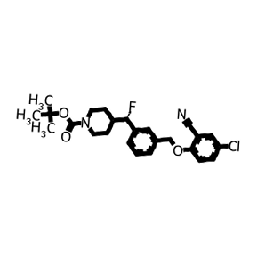 CC(C)(C)OC(=O)N1CCC([C@H](F)c2cccc(COc3ccc(Cl)cc3C#N)c2)CC1